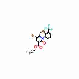 CCOC(=O)c1cc(Br)c(CBr)n(-c2cccc(C(F)(F)F)c2)c1=O